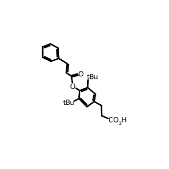 CC(C)(C)c1cc(CCC(=O)O)cc(C(C)(C)C)c1OC(=O)C=Cc1ccccc1